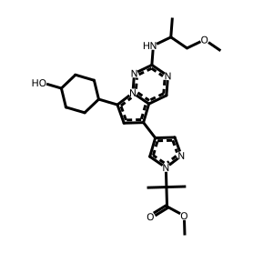 COCC(C)Nc1ncc2c(-c3cnn(C(C)(C)C(=O)OC)c3)cc(C3CCC(O)CC3)n2n1